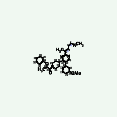 C=N/C=C\C=C(/C)c1ncc(-c2cccc(OC)c2)c(C2CCN(C(=O)C(C)Oc3ccccc3)CC2)n1